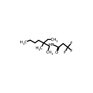 CCCCC(C)(CC)C(C)NC(=O)CC(F)(F)F